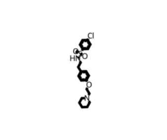 O=S(=O)(NCCc1ccc(OCCN2CCCCC2)cc1)c1ccc(Cl)cc1